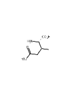 CC(CC(=O)C(C)(C)C)[C@H](N)C(=O)O